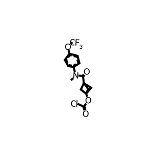 CN(C(=O)C12CC(OC(=O)Cl)(C1)C2)c1ccc(OC(F)(F)F)cc1